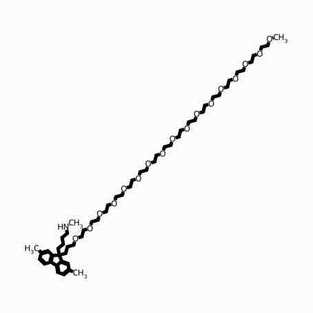 CNCCCCC1(CCCOCCOCCOCCOCCOCCOCCOCCOCCOCCOCCOCCOCCOCCOCCOCCOCCOC)c2cc(C)ccc2-c2ccc(C)cc21